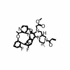 C=CC(=O)N1C[C@@H]2CN(CC(=O)OC)c3c(c4cc(F)c5c(F)c4n(c3=O)-c3c(C)ccnc3C(C)Oc3cccc(F)c3-5)N2C[C@H]1C